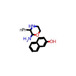 CCCC1NCCOC1N.Oc1ccc2ccccc2c1